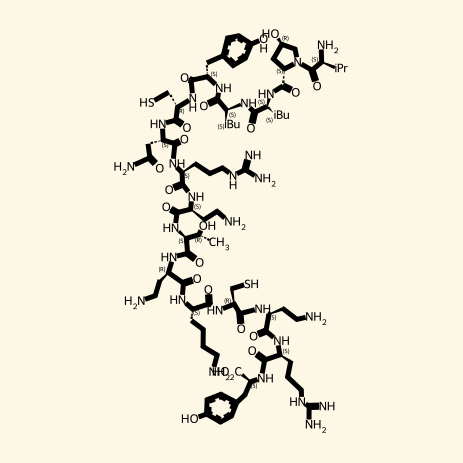 CC[C@H](C)[C@H](NC(=O)[C@@H](NC(=O)[C@@H]1C[C@@H](O)CN1C(=O)[C@@H](N)C(C)C)[C@@H](C)CC)C(=O)N[C@@H](Cc1ccc(O)cc1)C(=O)N[C@@H](CS)C(=O)N[C@@H](CC(N)=O)C(=O)N[C@@H](CCCNC(=N)N)C(=O)N[C@@H](CCN)C(=O)N[C@H](C(=O)N[C@H](CCN)C(=O)N[C@@H](CCCCN)C(=O)N[C@@H](CS)C(=O)N[C@@H](CCN)C(=O)N[C@@H](CCCNC(=N)N)C(=O)N[C@@H](Cc1ccc(O)cc1)C(=O)O)[C@@H](C)O